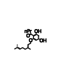 CCCC(=O)c1c(O)cc(O)cc1OC/C=C(\C)CCC=C(C)C